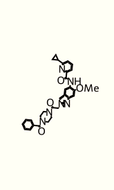 COc1cc2nn(CC(=O)N3CCN(C(=O)c4ccccc4)CC3)cc2cc1NC(=O)c1cccc(C2CC2)n1